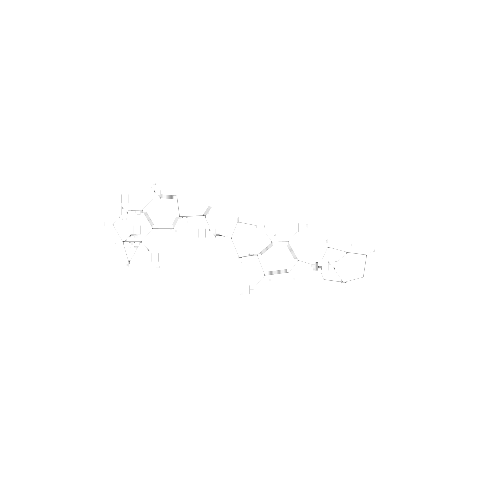 O=C(N[C@H]1COc2c(F)c(N3CC4CCC(C3)N4)cc(F)c2C1)c1cnc2c(c1)[C@@H]1C[C@@H]1CN2